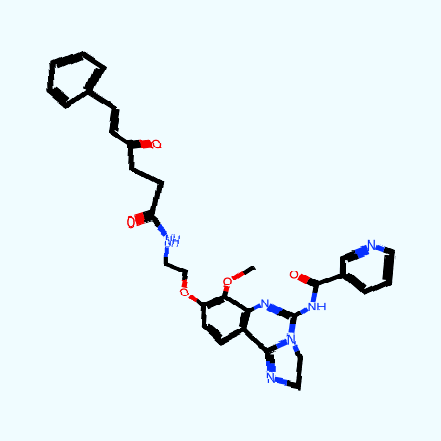 COc1c(OCCNC(=O)CCC(=O)C=Cc2ccccc2)ccc2c1N=C(NC(=O)c1cccnc1)N1CCN=C21